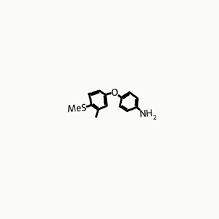 CSc1ccc(Oc2ccc(N)cc2)cc1C